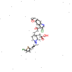 COc1ccc2ncc(Cl)c(C(=O)CCC3CCN(CC#Cc4ccc(F)s4)CC3CC(=O)O)c2c1